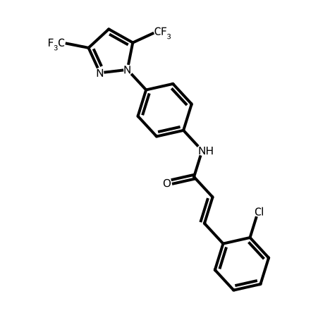 O=C(/C=C/c1ccccc1Cl)Nc1ccc(-n2nc(C(F)(F)F)cc2C(F)(F)F)cc1